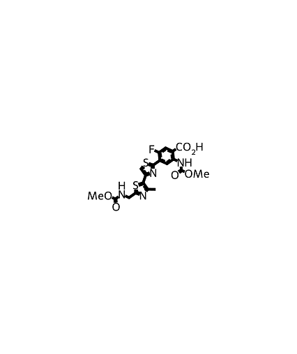 COC(=O)NCc1nc(C)c(-c2csc(-c3cc(NC(=O)OC)c(C(=O)O)cc3F)n2)s1